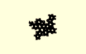 CC(C)(C)c1ccc(N(c2ccc3c(c2)CCC3)c2cc3c(c4oc5ccccc5c24)-c2c(ccc4c2oc2ccccc24)C32c3ccccc3-c3ccccc32)cc1